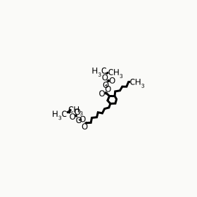 CCCCCCC1CCC(CCCCCCCC(=O)OOC(=O)OC(C)C)CC1C(=O)OOC(=O)OC(C)C